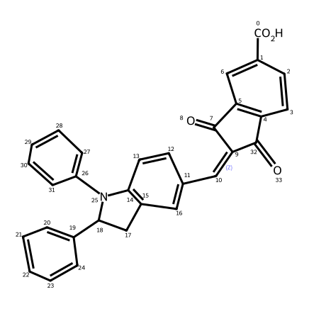 O=C(O)c1ccc2c(c1)C(=O)/C(=C\c1ccc3c(c1)CC(c1ccccc1)N3c1ccccc1)C2=O